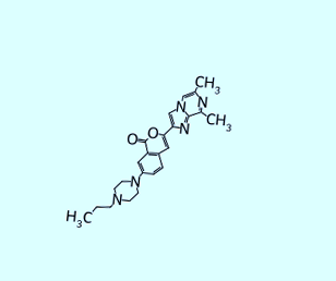 CCCN1CCN(c2ccc3cc(-c4cn5cc(C)nc(C)c5n4)oc(=O)c3c2)CC1